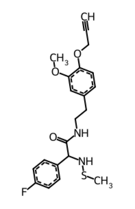 C#CCOc1ccc(CCNC(=O)C(NSC)c2ccc(F)cc2)cc1OC